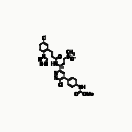 COC(=O)Nc1ccc(-c2cc([C@H](CC[S+](C)[O-])NC(=O)C=Cc3cc(Cl)ccc3-n3cnnn3)nnc2Cl)cc1